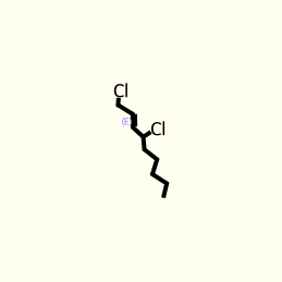 CCCCCC(Cl)/C=C/CCl